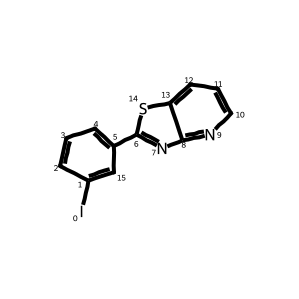 Ic1cccc(-c2nc3ncccc3s2)c1